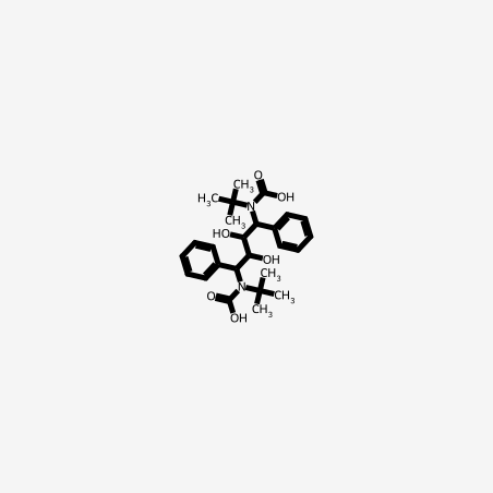 CC(C)(C)N(C(=O)O)C(c1ccccc1)C(O)C(O)C(c1ccccc1)N(C(=O)O)C(C)(C)C